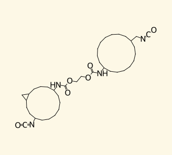 O=C=NCC1CCCCCCCCC(NC(=O)OCCOC(=O)NC2CCCCCCC(N=C=O)CCC3CC3CCC2)CCCCCCC1